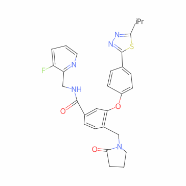 CC(C)c1nnc(-c2ccc(Oc3cc(C(=O)NCc4ncccc4F)ccc3CN3CCCC3=O)cc2)s1